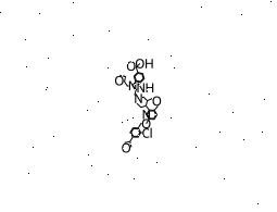 O=C(O)c1ccc2c(c1)N(CC1CCO1)C(CN1CCC3c4nc(OCc5ccc(C6COC6)cc5Cl)ccc4COCC3C1)N2